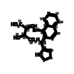 Brc1c(NC2=NCCN2)ccc2nccnc12.O=C(O)[C@@H](O)[C@H](O)C(=O)O